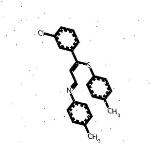 Cc1ccc(N=CC=C(Sc2ccc(C)cc2)c2cccc(Cl)c2)cc1